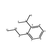 [CH2]C(C)c1ccccc1C[CH]C